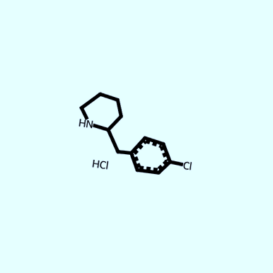 Cl.Clc1ccc(CC2CCCCN2)cc1